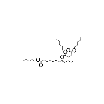 CCCCCOC(=O)CCCCCC/C=C/C(CC)C(CC(=O)OCCCCC)C(=O)OCCCCC